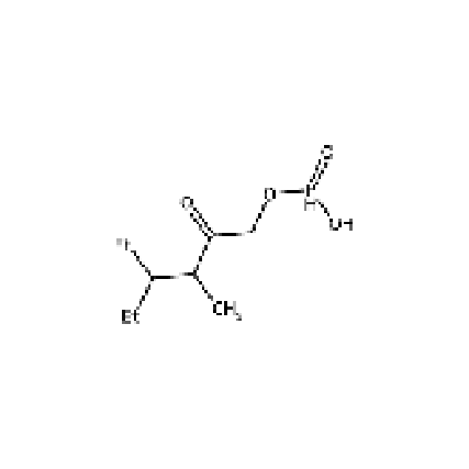 CCC(CC)C(C)C(=O)CO[PH](=O)O